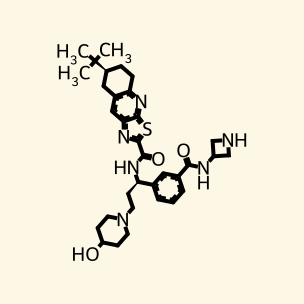 CC(C)(C)[C@H]1CCc2nc3sc(C(=O)N[C@H](CCN4CCC(O)CC4)c4cccc(C(=O)NC5CNC5)c4)nc3cc2C1